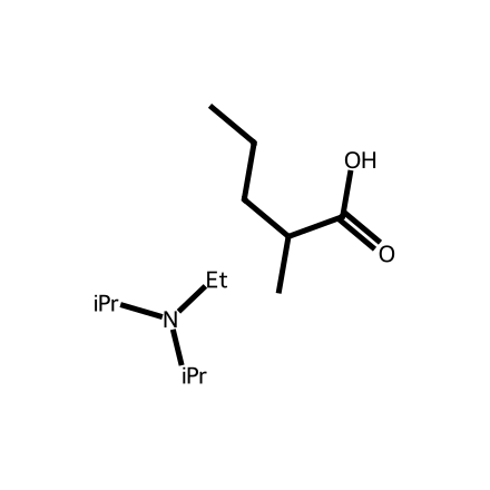 CCCC(C)C(=O)O.CCN(C(C)C)C(C)C